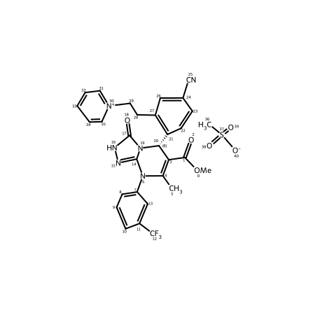 COC(=O)C1=C(C)N(c2cccc(C(F)(F)F)c2)c2n[nH]c(=O)n2[C@@H]1c1ccc(C#N)cc1CC[n+]1ccccc1.CS(=O)(=O)[O-]